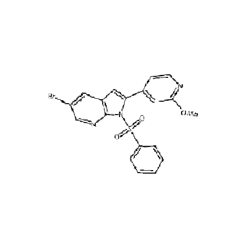 COc1cc(-c2cc3cc(Br)cnc3n2S(=O)(=O)c2ccccc2)ccn1